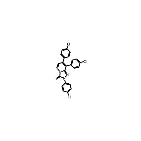 O=c1n(-c2ccc(Cl)cc2)nc2c(-c3ccc(Cl)cc3)c(-c3ccc(Cl)cc3)cnn12